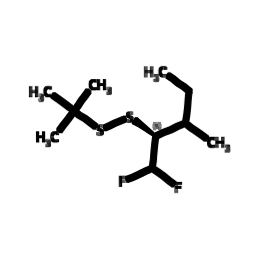 CCC(C)[C@H](SSC(C)(C)C)C(F)F